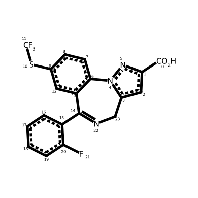 O=C(O)c1cc2n(n1)-c1ccc(SC(F)(F)F)cc1C(c1ccccc1F)=NC2